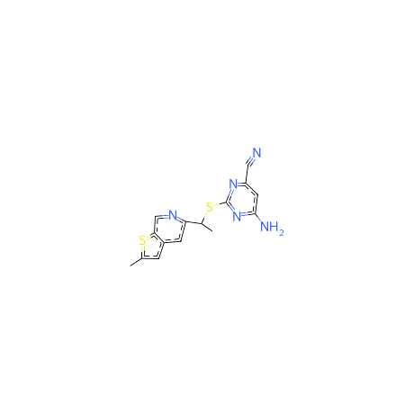 Cc1cc2cc(C(C)Sc3nc(N)cc(C#N)n3)ncc2s1